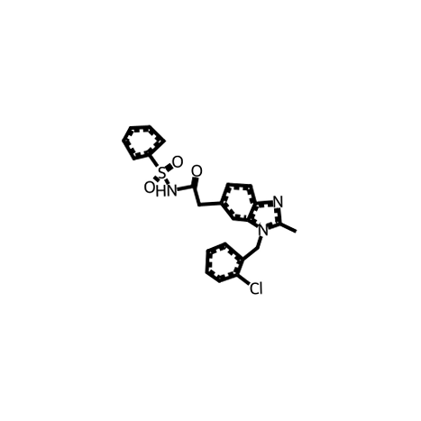 Cc1nc2ccc(CC(=O)NS(=O)(=O)c3ccccc3)cc2n1Cc1ccccc1Cl